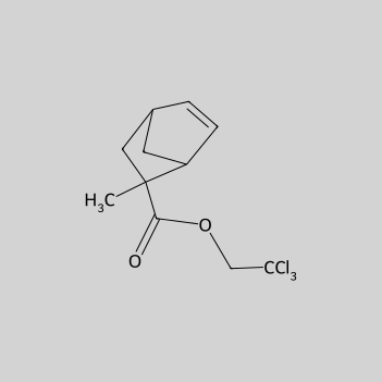 CC1(C(=O)OCC(Cl)(Cl)Cl)CC2C=CC1C2